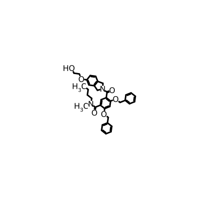 CCCCN(C)C(=O)c1cc(C(=O)N2Cc3ccc(OCCO)cc3C2)c(OCc2ccccc2)cc1OCc1ccccc1